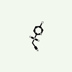 N#CCS(=O)(=O)c1ccc(Cl)cn1